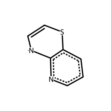 C1=CSc2cccnc2[N]1